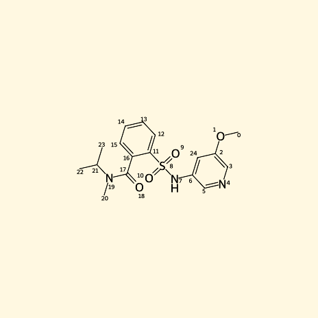 COc1cncc(NS(=O)(=O)c2ccccc2C(=O)N(C)C(C)C)c1